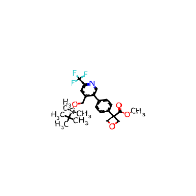 COC(=O)C1(c2ccc(-c3cnc(C(F)(F)F)cc3CO[Si](C)(C)C(C)(C)C)cc2)COC1